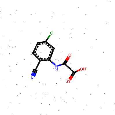 N#Cc1ccc(Cl)cc1NC(=O)C(=O)O